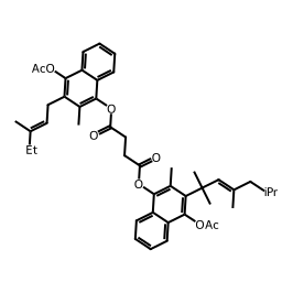 CC/C(C)=C/Cc1c(C)c(OC(=O)CCC(=O)Oc2c(C)c(C(C)(C)/C=C(\C)CC(C)C)c(OC(C)=O)c3ccccc23)c2ccccc2c1OC(C)=O